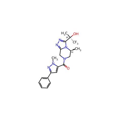 C[C@H]1CN(C(=O)c2cc(-c3ccccc3)nn2C)Cc2nnc([C@@](C)(O)C(F)(F)F)n21